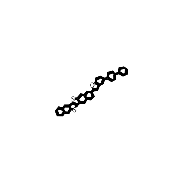 c1ccc(-c2ccc(-c3ccc4oc(-c5ccc6cc7c(cc6c5)sc5c6cc8ccccc8cc6sc75)cc4c3)cc2)cc1